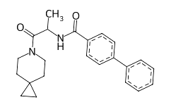 CC(NC(=O)c1ccc(-c2ccccc2)cc1)C(=O)N1CCC2(CC1)CC2